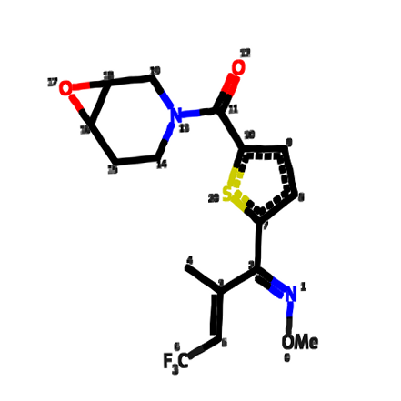 CO/N=C(\C(C)=C\C(F)(F)F)c1ccc(C(=O)N2CCC3OC3C2)s1